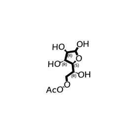 CC(=O)OOC[C@@H](O)[C@@H]1OC(O)[C@H](O)[C@H]1O